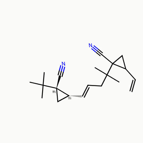 C=CC1CC1(C#N)C(C)(C)CC=C[C@@H]1C[C@]1(C#N)C(C)(C)C